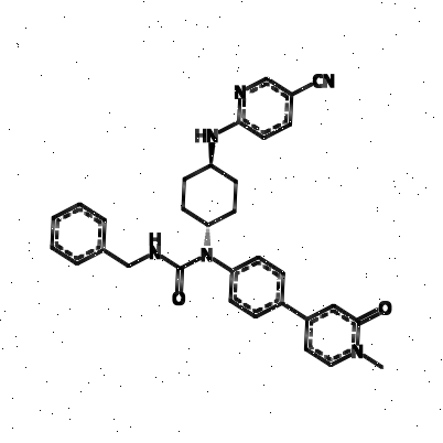 Cn1ccc(-c2ccc(N(C(=O)NCc3ccccc3)[C@H]3CC[C@H](Nc4ccc(C#N)cn4)CC3)cc2)cc1=O